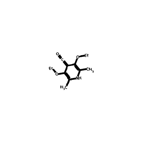 CCOC1=C(C)NC(C)=C(OCC)C1=C=O